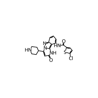 O=C(Nc1cccc2nn3c(C4CCNCC4)cc(=O)[nH]c3c12)c1ccc(Cl)s1